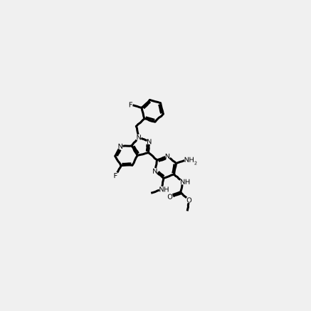 CNc1nc(-c2nn(Cc3ccccc3F)c3ncc(F)cc23)nc(N)c1NC(=O)OC